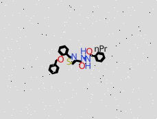 CCCc1ccccc1C(=O)NNC(=O)c1csc(-c2ccccc2OCc2ccccc2)n1